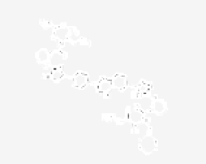 CCC(C)[C@H](OC(N)=O)C(=O)N1CCC[C@H]1c1nc(-c2ccc(-c3cnc4cc(-c5cnc([C@@H]6CCCN6C(=O)[C@H](CC6CCCCC6)NC(=O)OC)[nH]5)ccc4n3)cc2)c[nH]1